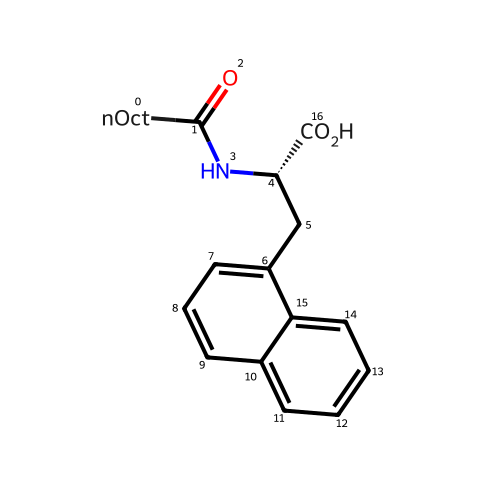 CCCCCCCCC(=O)N[C@@H](Cc1cccc2ccccc12)C(=O)O